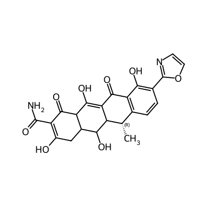 C[C@H]1c2ccc(-c3ncco3)c(O)c2C(=O)C2=C(O)C3C(=O)C(C(N)=O)=C(O)CC3C(O)C21